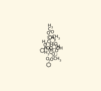 CC(=O)O[C@H]1CC[C@@]2(C)[C@@](C)(CC[C@H]3[C@]45O[C@H]4[C@]4(O)O[C@]6(CC[C@@](C)(COC(=O)c7ccccc7)O6)[C@@H](C)[C@@H]4[C@@]5(C)[C@H](OC(=O)c4ccccc4)C[C@@]32C)C1